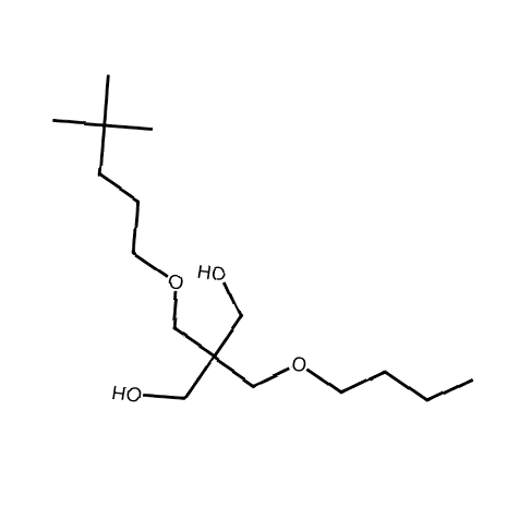 CCCCOCC(CO)(CO)COCCCC(C)(C)C